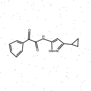 O=C(Nc1cc(C2CC2)n[nH]1)C(=O)c1ccccc1